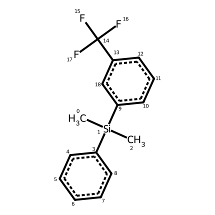 C[Si](C)(c1ccccc1)c1cccc(C(F)(F)F)c1